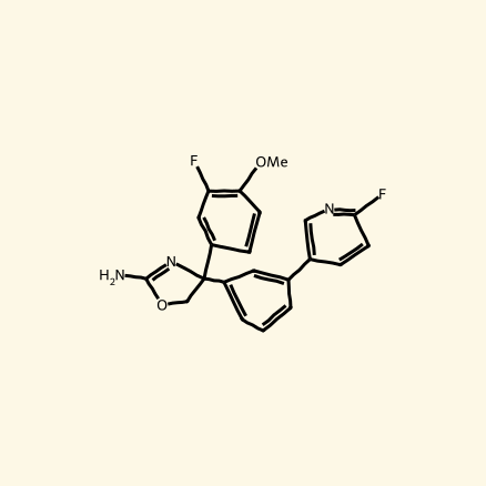 COc1ccc(C2(c3cccc(-c4ccc(F)nc4)c3)COC(N)=N2)cc1F